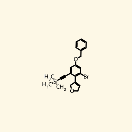 C[Si](C)(C)C#Cc1cc(OCc2ccccc2)cc(Br)c1C1=CCOC1